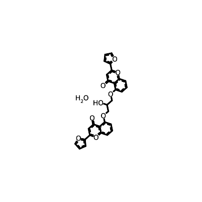 O.O=c1cc(-c2ccco2)oc2cccc(OCC(O)COc3cccc4oc(-c5ccco5)cc(=O)c34)c12